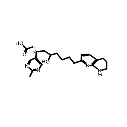 Cc1ncc([C@H](CC(=O)O)CC(O)CCCCc2ccc3c(n2)NCCC3)cn1